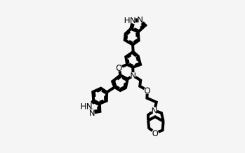 c1cc2c(cc1-c1ccc3[nH]ncc3c1)Oc1cc(-c3ccc4[nH]ncc4c3)ccc1N2CCOCCN1CC2COCC(C2)C1